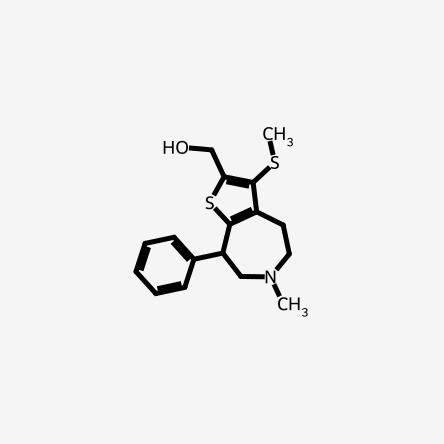 CSc1c(CO)sc2c1CCN(C)CC2c1ccccc1